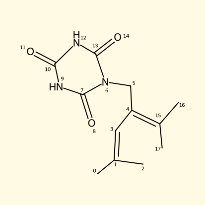 CC(C)=CC(Cn1c(=O)[nH]c(=O)[nH]c1=O)=C(C)C